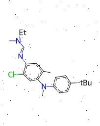 CCN(C)C=Nc1cc(C)c(N(C)c2ccc(C(C)(C)C)cc2)cc1Cl